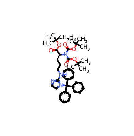 CC(C)(C)OC(=O)[C@H](CCCNc1nccn1C(c1ccccc1)(c1ccccc1)c1ccccc1)N(C(=O)OC(C)(C)C)C(=O)OC(C)(C)C